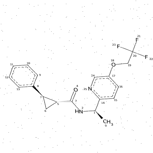 C[C@@H](NC(=O)[C@@H]1C[C@H]1c1ccccc1)c1ccc(OCC(F)(F)F)cn1